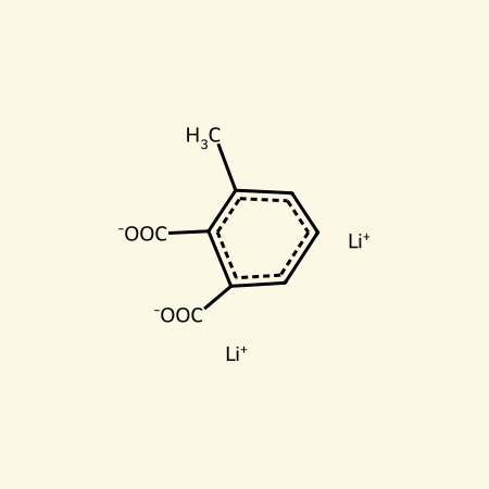 Cc1cccc(C(=O)[O-])c1C(=O)[O-].[Li+].[Li+]